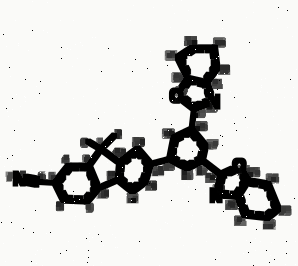 CC1(C)c2cc(C#N)ccc2-c2ccc(-c3cc(-c4nc5ccccc5o4)cc(-c4nc5ccccc5o4)c3)cc21